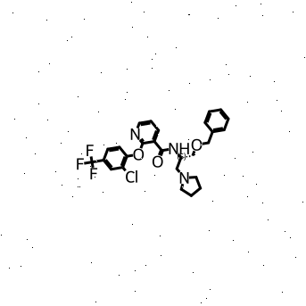 O=C(N[C@H](COCc1ccccc1)CN1CCCC1)c1cccnc1Oc1ccc(C(F)(F)F)cc1Cl